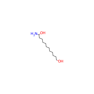 NC(O)CCCCCCCCCCCO